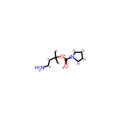 CC(C)(CCN)OC(=O)N1CCCC1